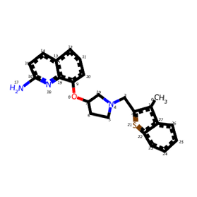 Cc1c(CN2CCC(Oc3cccc4ccc(N)nc34)C2)sc2ccccc12